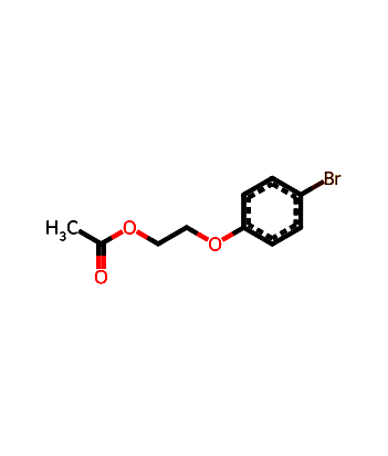 CC(=O)OCCOc1ccc(Br)cc1